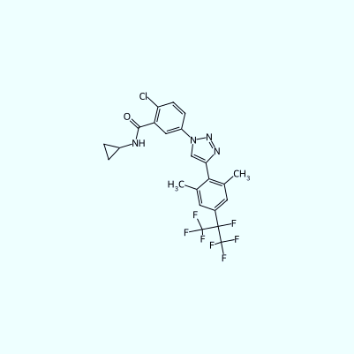 Cc1cc(C(F)(C(F)(F)F)C(F)(F)F)cc(C)c1-c1cn(-c2ccc(Cl)c(C(=O)NC3CC3)c2)nn1